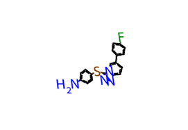 Nc1ccc(Sc2nnc3ccc(-c4ccc(F)cc4)cn23)cc1